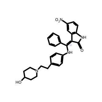 O=C1Nc2ccc([N+](=O)[O-])cc2/C1=C(/Nc1ccc(CCN2CCC(O)CC2)cc1)c1ccccc1